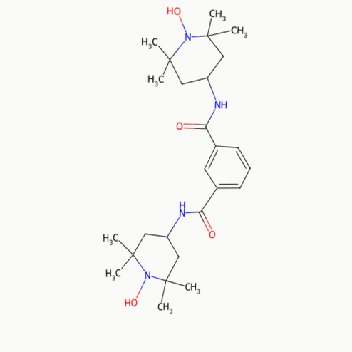 CC1(C)CC(NC(=O)c2cccc(C(=O)NC3CC(C)(C)N(O)C(C)(C)C3)c2)CC(C)(C)N1O